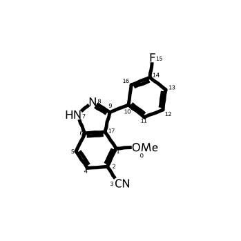 COc1c(C#N)ccc2[nH]nc(-c3cccc(F)c3)c12